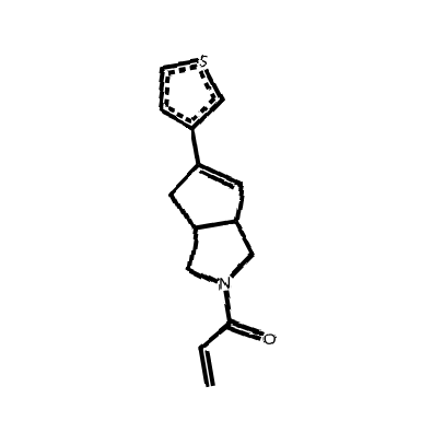 C=CC(=O)N1CC2C=C(c3ccsc3)CC2C1